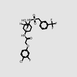 O=C(COc1ccc(Cl)c(F)c1)NC12CCC(NS(=O)(=O)Cc3cccc(C(F)(F)F)c3)(CC1)[C@@H](O)C2